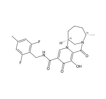 Cc1cc(F)c(CNC(=O)c2cn3c(c(O)c2=O)C(=O)N2C[C@@H]3CCC[C@@H]2C)c(F)c1